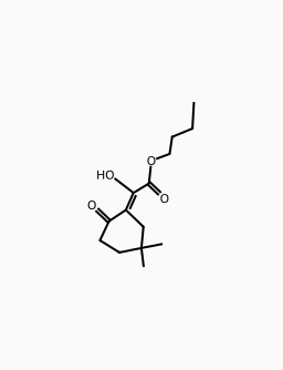 CCCCOC(=O)/C(O)=C1\CC(C)(C)CCC1=O